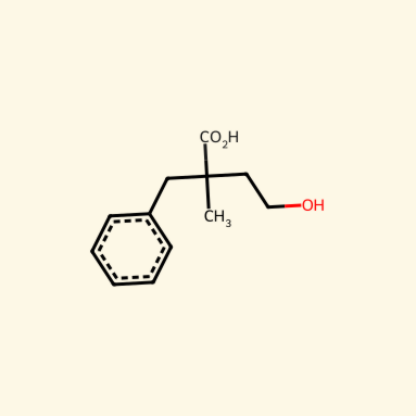 CC(CCO)(Cc1ccccc1)C(=O)O